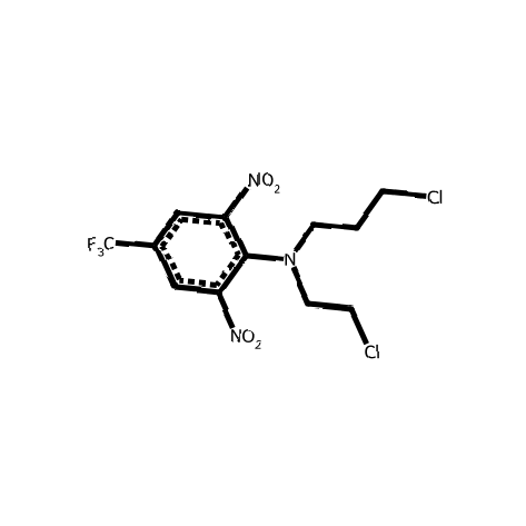 O=[N+]([O-])c1cc(C(F)(F)F)cc([N+](=O)[O-])c1N(CCCl)CCCCl